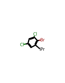 CC(C)c1cc(Cl)cc(Cl)c1Br